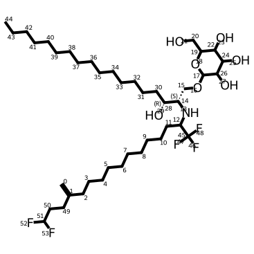 C=C(CCCCCCCCCCC(N[C@@H](COC1OC(CO)C(O)C(O)C1O)[C@H](O)CCCCCCCCCCCCCCC)C(F)(F)F)CCC(F)F